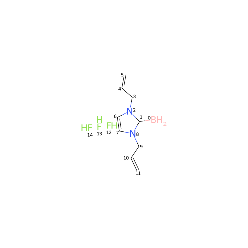 BC1N(CC=C)C=CN1CC=C.F.F.F